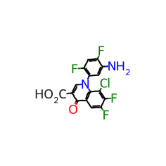 Nc1cc(-n2cc(C(=O)O)c(=O)c3cc(F)c(F)c(Cl)c32)c(F)cc1F